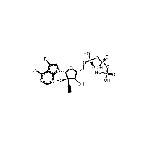 C#C[C@@]1(O)[C@H](O)[C@@H](COP(=O)(O)OP(=O)(O)OP(=O)(O)O)O[C@H]1n1cc(F)c2c(N)ncnc21